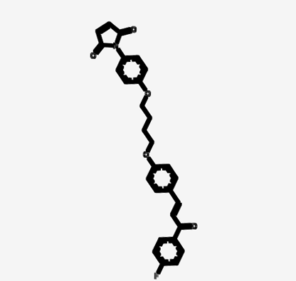 O=C(/C=C/c1ccc(OCCCCOc2ccc(N3C(=O)C=CC3=O)cc2)cc1)c1ccc(F)cc1